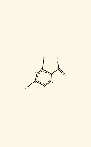 O=C(Cl)c1ccc(F)cc1I